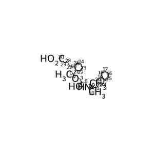 C[C@@H](OCC(O)CNC(C)(C)CC1Cc2ccccc2C1)c1ccccc1CCCC(=O)O